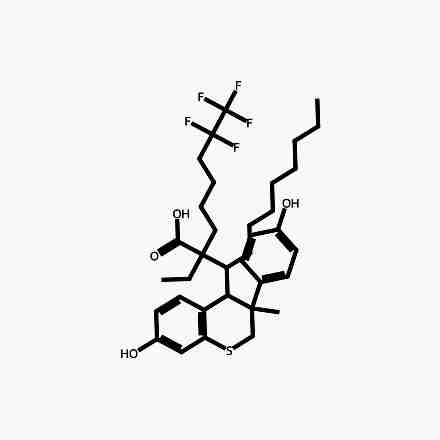 CCCCCCCCC(C1c2ccc(O)cc2SCC1(C)c1ccc(O)cc1)C(CC)(CCCCC(F)(F)C(F)(F)F)C(=O)O